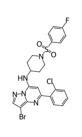 O=S(=O)(c1ccc(F)cc1)N1CCC(Nc2cc(-c3ccccc3Cl)nc3c(Br)cnn23)CC1